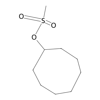 CS(=O)(=O)OC1CCCCCCC1